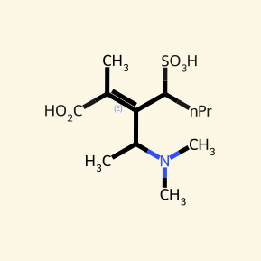 CCCC(/C(=C(\C)C(=O)O)C(C)N(C)C)S(=O)(=O)O